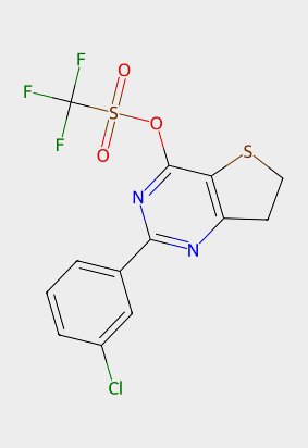 O=S(=O)(Oc1nc(-c2cccc(Cl)c2)nc2c1SCC2)C(F)(F)F